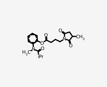 CC(C)C(=O)N(C)c1ccccc1OC(=O)CCCN1C(=O)CC(C)C1=O